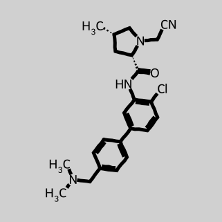 C[C@H]1C[C@@H](C(=O)Nc2cc(-c3ccc(CN(C)C)cc3)ccc2Cl)N(CC#N)C1